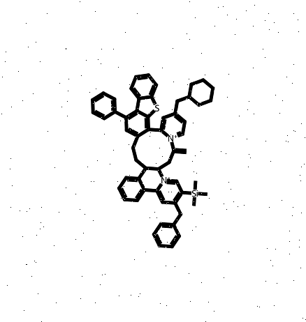 C=C1CC2C(CCc3cc(-c4ccccc4)c4c(sc5ccccc54)c3-c3cc(CC4CCCCC4)cc[n+]31)c1ccccc1-c1cc(Cc3ccccc3)c([Si](C)(C)C)c[n+]12